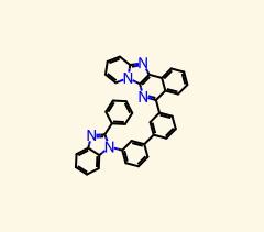 c1ccc(-c2nc3ccccc3n2-c2cccc(-c3cccc(-c4nc5c(nc6ccccn65)c5ccccc45)c3)c2)cc1